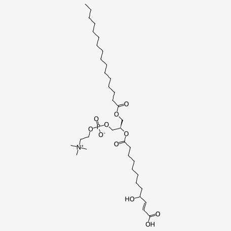 CCCCCCCCCCCCCCCC(=O)OC[C@H](COP(=O)([O-])OCC[N+](C)(C)C)OC(=O)CCCCCCCC(O)/C=C/C(=O)O